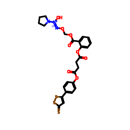 O=C(CCC(=O)Oc1ccccc1C(=O)OCO/N=[N+](\O)N1CCCC1)Oc1ccc(-c2cc(=S)ss2)cc1